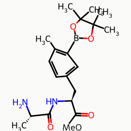 COC(=O)[C@H](Cc1ccc(C)c(B2OC(C)(C)C(C)(C)O2)c1)NC(=O)[C@H](C)N